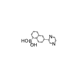 OB(O)c1cccc2cc(-c3cnccn3)ccc12